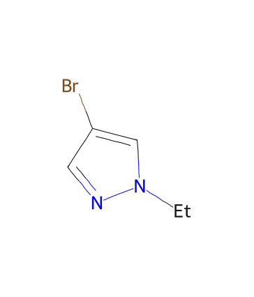 CCn1cc(Br)cn1